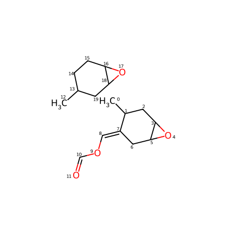 CC1CC2OC2CC1=COC=O.CC1CCC2OC2C1